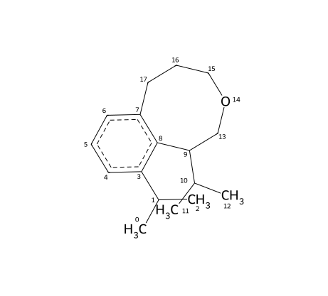 CC(C)c1cccc2c1C(C(C)C)COCCC2